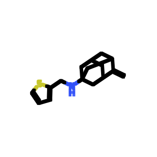 C=C1C2CC3CC1CC(NCc1cccs1)(C3)C2